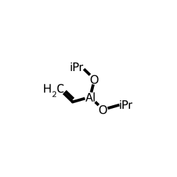 C=[CH][Al]([O]C(C)C)[O]C(C)C